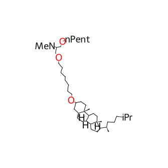 CCCCCOCC(COCCCCCCCCO[C@H]1CC[C@@]2(C)C(=CC[C@H]3[C@@H]4CC[C@H]([C@H](C)CCCC(C)C)[C@@]4(C)CC[C@@H]32)C1)NC